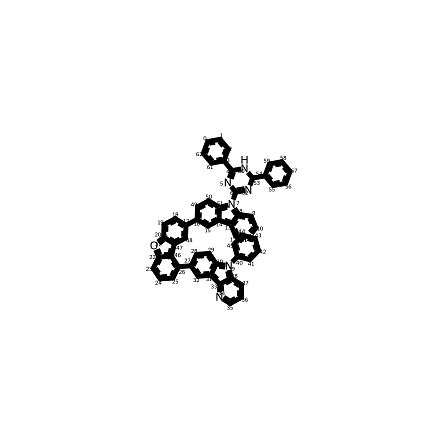 c1ccc(C2=NC(n3c4ccncc4c4cc(-c5ccc6oc7cccc(-c8ccc9c(c8)c8ncccc8n9-c8ccccc8)c7c6c5)ccc43)=NC(c3ccccc3)N2)cc1